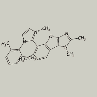 Cc1cccc(C)c1-n1cc[n+](C)c1-c1c(C)ccc2c1oc1nc(C)n(C)c12